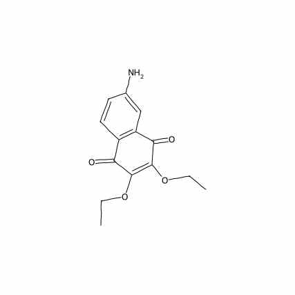 CCOC1=C(OCC)C(=O)c2cc(N)ccc2C1=O